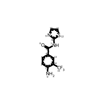 Nc1ccc(C(=O)Nc2nccs2)cc1C(F)(F)F